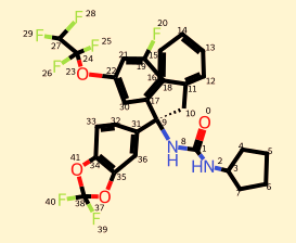 O=C(NC1CCCC1)N[C@](Cc1ccccc1)(c1cc(F)cc(OC(F)(F)C(F)F)c1)c1ccc2c(c1)OC(F)(F)O2